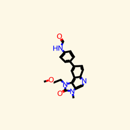 COCCn1c(=O)n(C)c2cnc3ccc(-c4ccc(NC=O)cc4)cc3c21